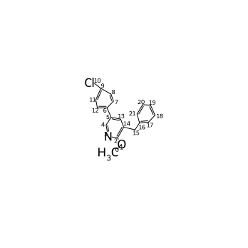 COc1ncc(-c2ccc(Cl)cc2)cc1Cc1ccccc1